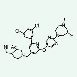 CC(=O)NCC1CCN(Cc2cc(Oc3cnc(N4CCN(C)CC(F)C4)nc3)nc(-c3cc(Cl)cc(Cl)c3)c2)CC1